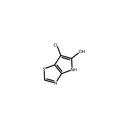 Oc1[nH]c2ncsc2c1Cl